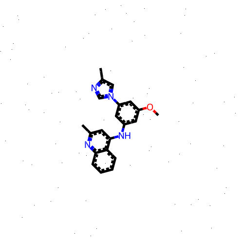 COc1cc(Nc2cc(C)nc3ccccc23)cc(-n2cnc(C)c2)c1